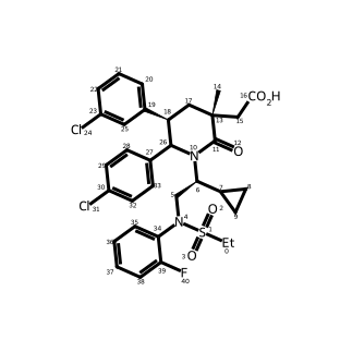 CCS(=O)(=O)N(C[C@H](C1CC1)N1C(=O)[C@@](C)(CC(=O)O)C[C@H](c2cccc(Cl)c2)C1c1ccc(Cl)cc1)c1ccccc1F